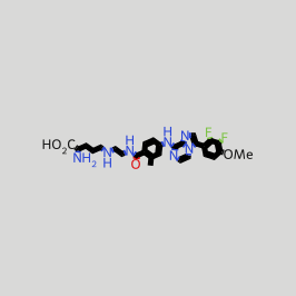 COc1ccc(-c2cnc3c(Nc4ccc(C(=O)NCCNCCCC(N)C(=O)O)c(C)c4)nccn23)c(F)c1F